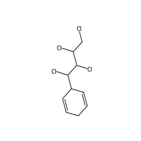 ClCC(Cl)C(Cl)C(Cl)C1C=CCC=C1